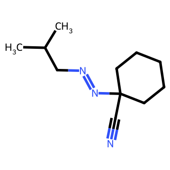 CC(C)CN=NC1(C#N)CCCCC1